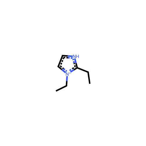 CCc1[nH]cc[n+]1CC